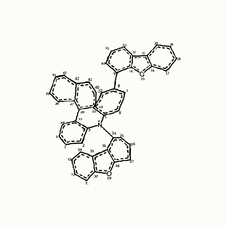 c1ccc(N(c2ccc(-c3cccc4c3oc3ccccc34)cc2)c2cccc3oc4ccccc4c23)c(-c2cccc3ccccc23)c1